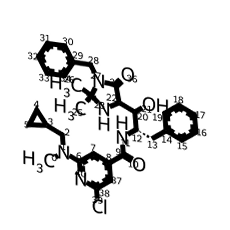 CN(CC1CC1)c1cc(C(=O)N[C@@H](Cc2ccccc2)C(O)C2NC(C)(C)N(Cc3ccccc3)C2=O)cc(Cl)n1